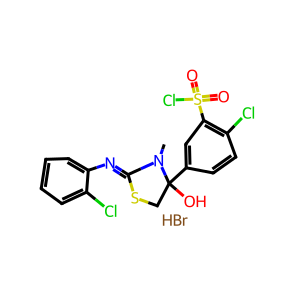 Br.CN1C(=Nc2ccccc2Cl)SCC1(O)c1ccc(Cl)c(S(=O)(=O)Cl)c1